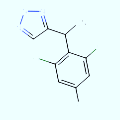 N#CC(c1cn[nH]n1)c1c(Cl)cc(C(F)(F)F)cc1Cl